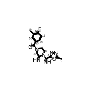 Cc1nnc(C(=N)N2CCN(C(=O)c3ccc(F)c(C)c3)CC2=N)o1